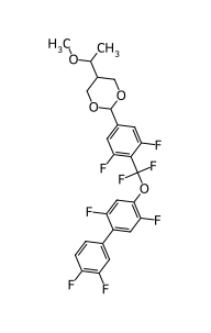 COC(C)C1COC(c2cc(F)c(C(F)(F)Oc3cc(F)c(-c4ccc(F)c(F)c4)cc3F)c(F)c2)OC1